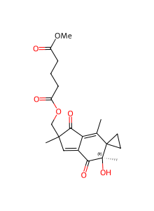 COC(=O)CCCC(=O)OCC1(C)C=C2C(=O)[C@](C)(O)C3(CC3)C(C)=C2C1=O